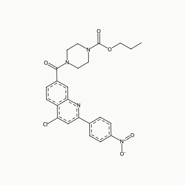 CCCOC(=O)N1CCN(C(=O)c2ccc3c(Cl)cc(-c4ccc([N+](=O)[O-])cc4)nc3c2)CC1